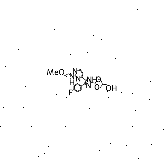 COCCNc1nccc(-c2[nH]c(C3OCC(CO)CO3)nc2-c2ccc(F)cc2)n1